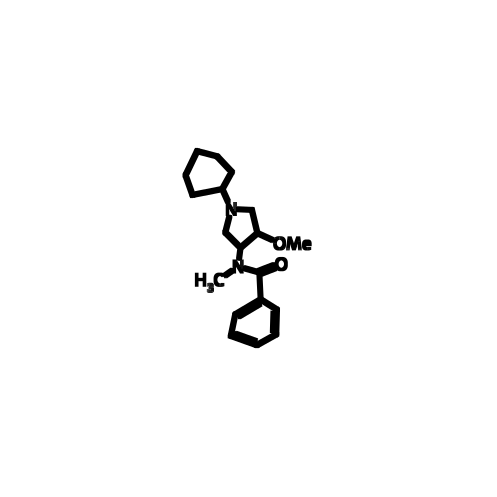 COC1CN(C2CCCCC2)CC1N(C)C(=O)c1ccccc1